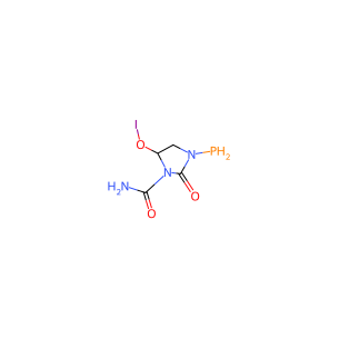 NC(=O)N1C(=O)N(P)CC1OI